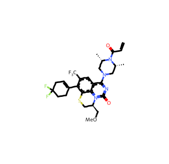 C=CC(=O)N1[C@H](C)CN(c2nc(=O)n3c4c(c(C5=CCC(F)(F)CC5)c(C(F)(F)F)cc24)SC[C@@H]3COC)C[C@@H]1C